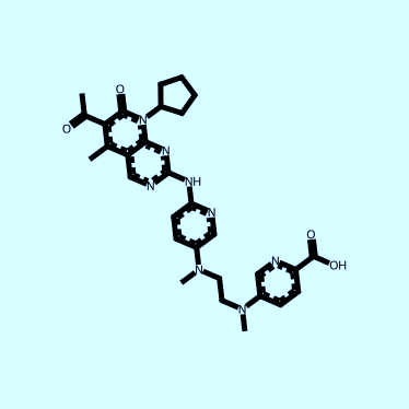 CC(=O)c1c(C)c2cnc(Nc3ccc(N(C)CCN(C)c4ccc(C(=O)O)nc4)cn3)nc2n(C2CCCC2)c1=O